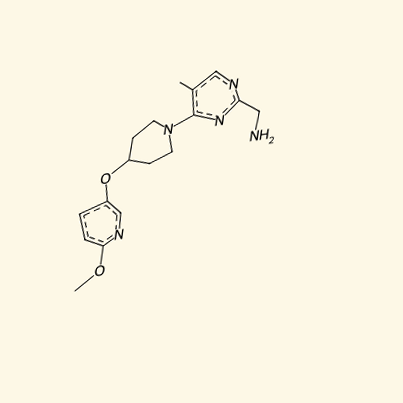 COc1ccc(OC2CCN(c3nc(CN)ncc3C)CC2)cn1